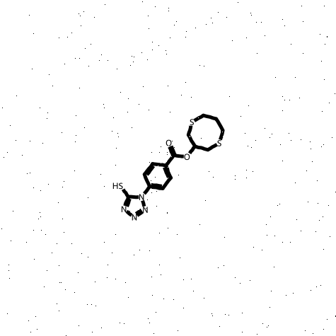 O=C(OC1CSCCCSC1)c1ccc(-n2nnnc2S)cc1